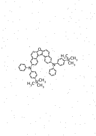 C[Si](C)(C)c1ccc(N(c2ccccc2)c2ccc3c(ccc4oc5ccc6cc(N(c7ccccc7)c7ccc([Si](C)(C)C)cc7)ccc6c5c43)c2)cc1